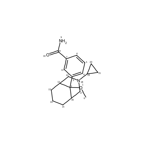 COC1(c2cccc(C(N)=O)c2)C2CCCC1CN(C1CC1)C2